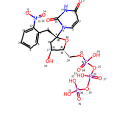 O=c1ccn([C@@]2(Cc3ccccc3[N+](=O)[O-])C[C@H](O)[C@@H](COP(=O)(O)OP(=O)(O)OP(=O)(O)O)O2)c(=O)[nH]1